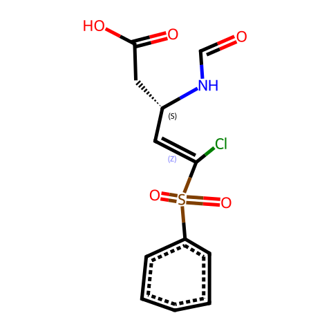 O=CN[C@H](/C=C(\Cl)S(=O)(=O)c1ccccc1)CC(=O)O